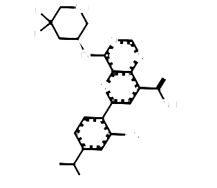 N#Cc1cc(C(F)F)ccc1-c1cc(C(N)=O)c2ncnc(N[C@@H]3CNCC(F)(F)C3)c2n1